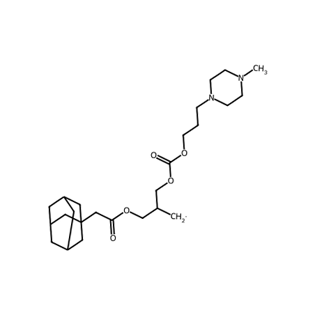 [CH2]C(COC(=O)CC12CC3CC(CC(C3)C1)C2)COC(=O)OCCCN1CCN(C)CC1